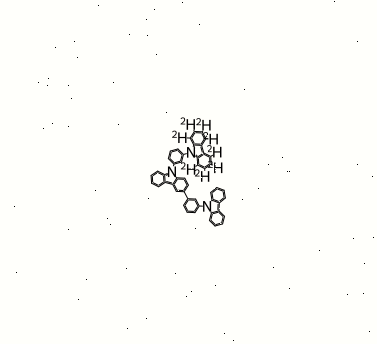 [2H]c1c([2H])c([2H])c2c(c1[2H])c1c([2H])c([2H])c([2H])c([2H])c1n2-c1cccc(-n2c3ccccc3c3cc(-c4cccc(-n5c6ccccc6c6ccccc65)c4)ccc32)c1